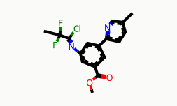 COC(=O)c1cc(N=C(Cl)C(C)(F)F)cc(-c2ccc(C)cn2)c1